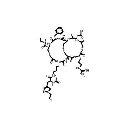 CCNC(=O)[C@@H]1CSCC(=O)N[C@@H](CCCCNC(=O)C(Cc2cn(CC[18F])nn2)NC(C)=O)C(=O)N[C@H]2CSSC[C@H](NC(=O)[C@H](CC(=O)O)NC(=O)CNC(=O)[C@H](CCCNC(=N)N)NC2=O)C(=O)N[C@@H](Cc2ccccc2)C(=O)N1